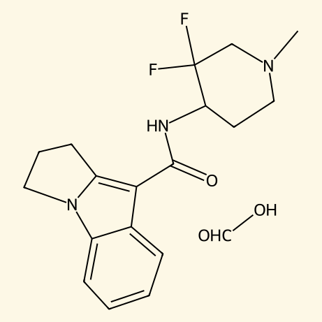 CN1CCC(NC(=O)c2c3n(c4ccccc24)CCC3)C(F)(F)C1.O=CO